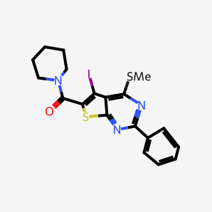 CSc1nc(-c2ccccc2)nc2sc(C(=O)N3CCCCC3)c(I)c12